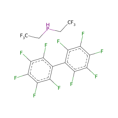 FC(F)(F)CPCC(F)(F)F.Fc1c(F)c(F)c(-c2c(F)c(F)c(F)c(F)c2F)c(F)c1F